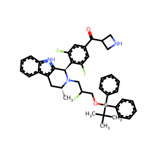 C[C@@H]1Cc2c([nH]c3ccccc23)[C@@H](c2c(F)cc(C(=O)C3CNC3)cc2F)N1CC(F)CO[Si](c1ccccc1)(c1ccccc1)C(C)(C)C